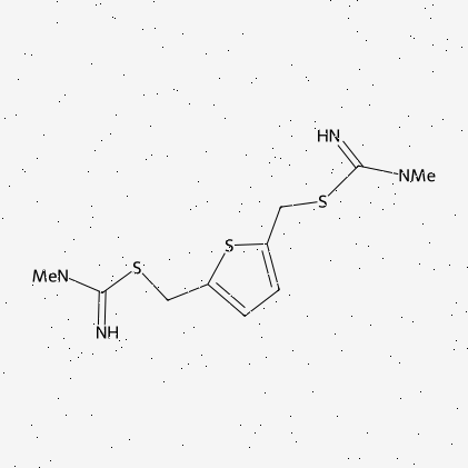 CNC(=N)SCc1ccc(CSC(=N)NC)s1